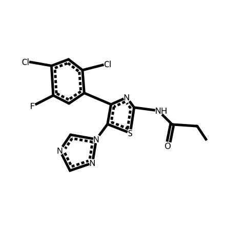 CCC(=O)Nc1nc(-c2cc(F)c(Cl)cc2Cl)c(-n2cncn2)s1